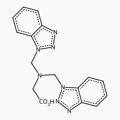 O=C(O)CN(Cn1nnc2ccccc21)Cn1nnc2ccccc21